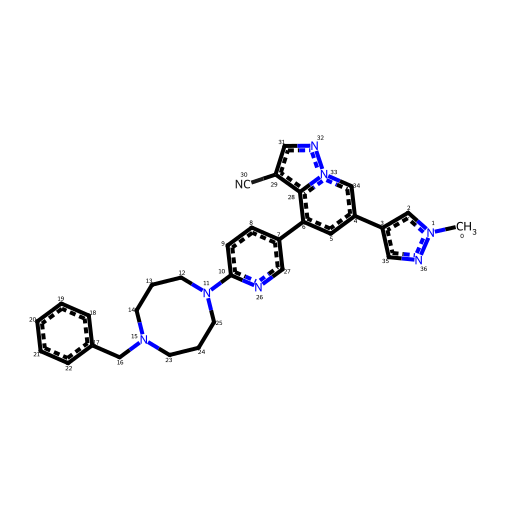 Cn1cc(-c2cc(-c3ccc(N4CCCN(Cc5ccccc5)CCC4)nc3)c3c(C#N)cnn3c2)cn1